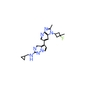 Cc1nc2ncc(-c3ccn4nc(NCC5CC5)ncc34)cc2n1C1CC(C)(F)C1